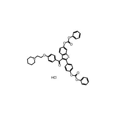 Cl.O=C(Oc1ccccc1)Oc1ccc(-c2sc3cc(OC(=O)Oc4ccccc4)ccc3c2C(=O)c2ccc(OCCN3CCCCC3)cc2)cc1